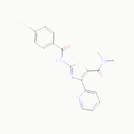 CN(C)C(=O)c1sc(NC(=O)c2ccc(C(F)(F)F)cc2)nc1-c1ccccn1